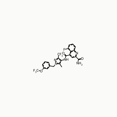 Cc1c(NC(=O)c2cc(C(N)=O)nc3cccc(F)c23)c(C(F)(F)F)nn1Cc1cccc(OC(F)(F)F)c1